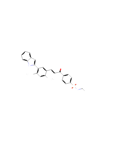 COc1cc(OC)c(-c2cc3ccccc3[nH]2)cc1/C=C/C(=O)c1ccc(S(=O)(=O)NCC(=O)O)cc1